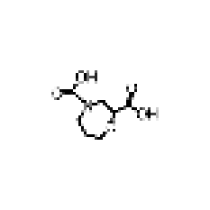 O=C(O)C1CN(C(=O)O)CCCO1